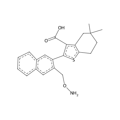 CC1(C)CCc2sc(-c3cc4ccccc4cc3CON)c(C(=O)O)c2C1